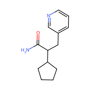 NC(=O)C(Cc1cccnc1)C1CCCC1